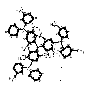 Cc1cccc(N(c2ccccc2)c2cc(C)c(N(c3cc(C)c(N(c4ccccc4)c4cccc(C)c4)cc3C)c3cc(C)c(N(c4cccc(C)c4)c4cccc(C)c4)cc3C)cc2C)c1